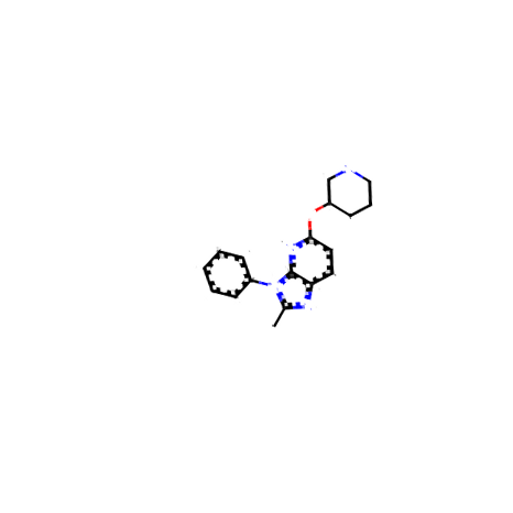 Cc1nc2ccc(OC3CCCNC3)nc2n1-c1ccccc1